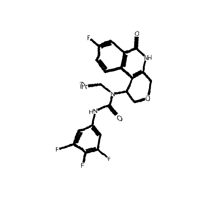 CC(C)CN(C(=O)Nc1cc(F)c(F)c(F)c1)C1COCc2[nH]c(=O)c3cc(F)ccc3c21